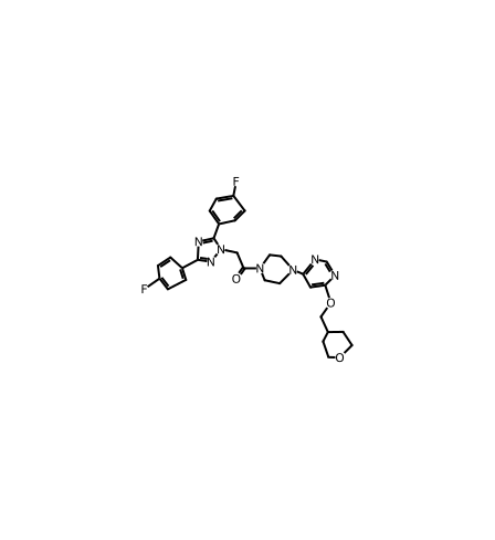 O=C(Cn1nc(-c2ccc(F)cc2)nc1-c1ccc(F)cc1)N1CCN(c2cc(OCC3CCOCC3)ncn2)CC1